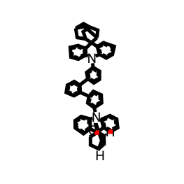 c1cc(-c2ccccc2-c2cccc(N3c4ccccc4C4(c5ccccc53)C3CC5C[C@H](C3)C[C@H]4C5)c2)cc(N2c3ccccc3C3(c4ccccc42)C2CC4CC(C2)CC3C4)c1